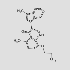 CCCOc1ccc(C)c2c(=O)c(-c3cn(C)c4ccccc34)c[nH]c12